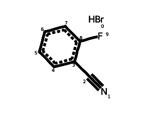 Br.N#Cc1ccccc1F